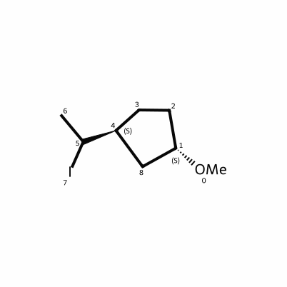 CO[C@H]1CC[C@H](C(C)I)C1